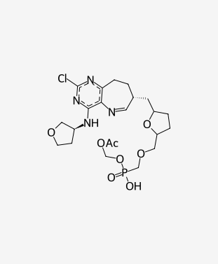 CC(=O)OCOP(=O)(O)COCC1CCC(C[C@@H]2C=Nc3c(nc(Cl)nc3N[C@H]3CCOC3)CC2)O1